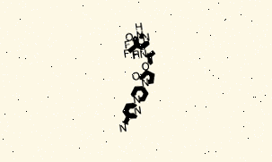 CC(CO[C@H]1CCN(C2CCN(c3ccc(C#N)cn3)CC2)C1=O)Nc1cn[nH]c(=O)c1C(F)(F)F